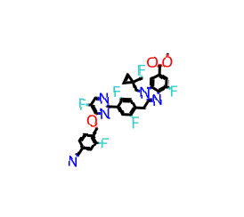 COC(=O)c1cc(F)c2nc(Cc3cc(F)c(-c4ncc(F)c(OCc5ccc(C#N)cc5F)n4)cc3F)n(CC3(CF)CC3)c2c1